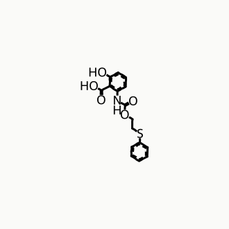 O=C(Nc1cccc(O)c1C(=O)O)OCCSc1ccccc1